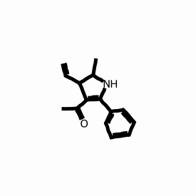 C=CC1C(C(C)=O)=C(c2ccccc2)NC1C